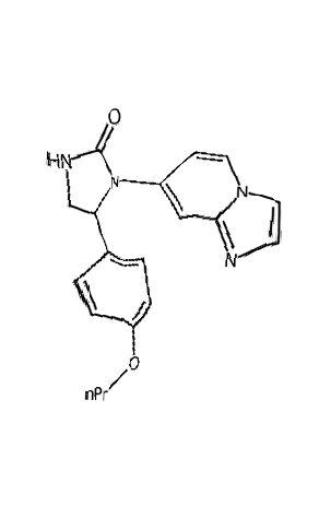 CCCOc1ccc(C2CNC(=O)N2c2ccn3ccnc3c2)cc1